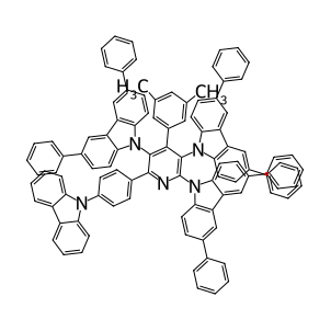 Cc1cc(C)cc(-c2c(-n3c4ccc(-c5ccccc5)cc4c4cc(-c5ccccc5)ccc43)c(-c3ccc(-n4c5ccccc5c5ccccc54)cc3)nc(-n3c4ccc(-c5ccccc5)cc4c4cc(-c5ccccc5)ccc43)c2-n2c3ccc(-c4ccccc4)cc3c3cc(-c4ccccc4)ccc32)c1